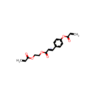 C=CC(=O)OCCOC(=O)/C=C/c1ccc(OC(=O)C=C)cc1